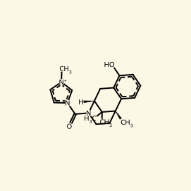 C[n+]1ccn(C(=O)N2CC[C@@]3(C)c4cccc(O)c4C[C@@H]2C3(C)C)c1